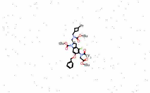 CC(C)C1CC(CN(C[C@H]2Cc3c(cc(OCc4ccccc4)c(N(CC(=O)OC(C)(C)C)C(=O)C(F)(F)F)c3F)N2C(=O)OC(C)(C)C)C(=O)OC(C)(C)C)C1